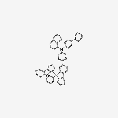 c1ccc(-c2ccc(N(c3ccc(-c4ccc5c(c4)C(c4ccccc4)(c4cccc6c4oc4ccccc46)c4ccccc4-5)cc3)c3cccc4ccccc34)cc2)cc1